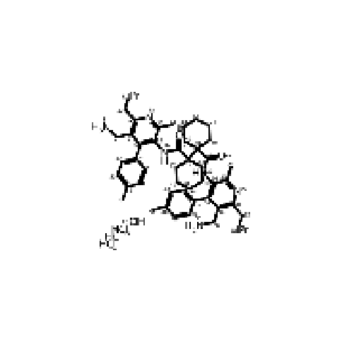 Cc1ccc(-c2c(CN)c(CC(C)C)nc(C)c2NC(=O)C2(C3(C(=O)Nc4c(C)nc(CC(C)C)c(CN)c4-c4ccc(C)cc4)CCCCC3)CCCCC2)cc1.Cl.Cl.Cl.Cl